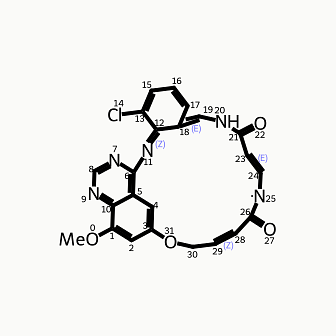 COc1cc2cc3c(ncnc13)/N=c1\c(Cl)ccc\c1=C/NC(=O)/C=C/[N]C(=O)/C=C\CO2